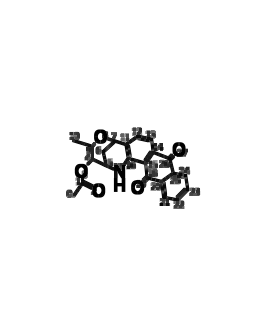 CC(=O)OC1C2CC(OC1C)c1ccc3c(c1N2)C(=O)c1ccccc1C3=O